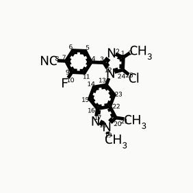 Cc1nc(-c2ccc(C#N)c(F)c2)n(-c2ccc3nn(C)c(C)c3c2)c1Cl